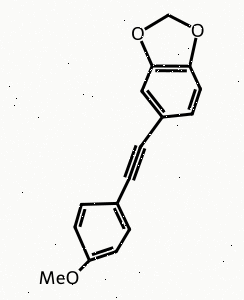 COc1ccc(C#Cc2ccc3c(c2)OCO3)cc1